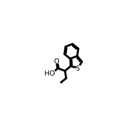 CCC(C(=O)O)c1scc2ccccc12